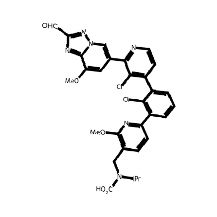 COc1nc(-c2cccc(-c3ccnc(-c4cc(OC)c5nc(C=O)nn5c4)c3Cl)c2Cl)ccc1CN(C(=O)O)C(C)C